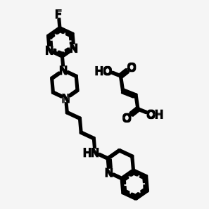 Fc1cnc(N2CCN(CCCCNC3=Nc4ccccc4CC3)CC2)nc1.O=C(O)C=CC(=O)O